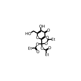 CCC(=O)OC(OC(=O)CC)(OC(=O)CC)c1cc(=O)c(O)c(CO)o1